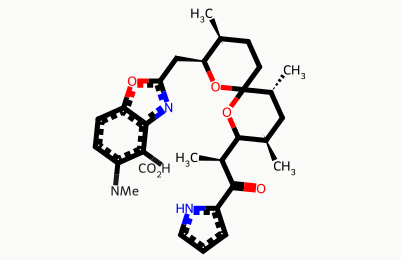 CNc1ccc2oc(C[C@@H]3OC4(CC[C@@H]3C)OC([C@H](C)C(=O)c3ccc[nH]3)[C@H](C)C[C@H]4C)nc2c1C(=O)O